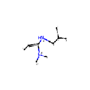 CC=C(NCC(C)C)N(C)C